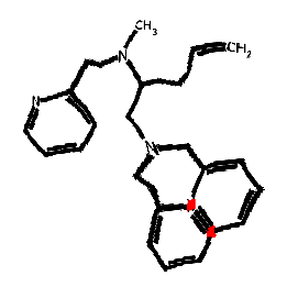 C=CCC(CN(Cc1ccccn1)Cc1ccccn1)N(C)Cc1ccccn1